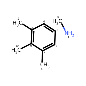 CN.Cc1cccc(C)c1C